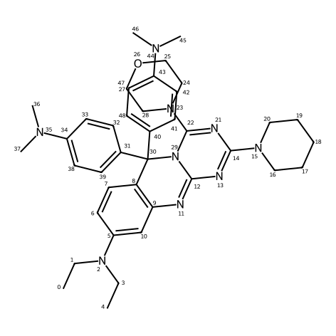 CCN(CC)c1ccc2c(c1)N=C1N=C(N3CCCCC3)N=C(N3CCOCC3)N1C2(c1ccc(N(C)C)cc1)c1ccc(N(C)C)cc1